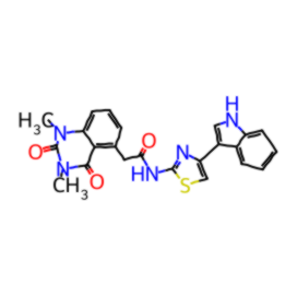 Cn1c(=O)c2c(CC(=O)Nc3nc(-c4c[nH]c5ccccc45)cs3)cccc2n(C)c1=O